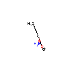 CCCCCCCCCCCCCCCCOCC(N)CCOCc1ccccc1